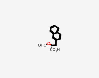 O=CO[C@H](Cc1ccc2ccccc2c1)C(=O)O